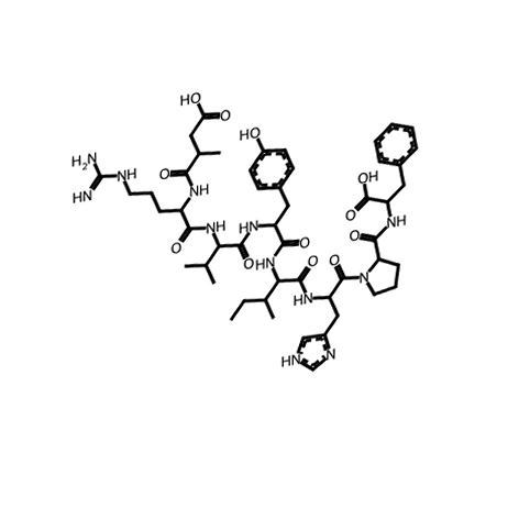 CCC(C)C(NC(=O)C(Cc1ccc(O)cc1)NC(=O)C(NC(=O)C(CCCNC(=N)N)NC(=O)C(C)CC(=O)O)C(C)C)C(=O)NC(Cc1c[nH]cn1)C(=O)N1CCCC1C(=O)NC(Cc1ccccc1)C(=O)O